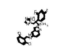 C[C@@H](n1cc2cc(NCc3c(Cl)cccc3Cl)ccc2n1)[C@](O)(Cn1cncn1)c1ccc(F)cc1F